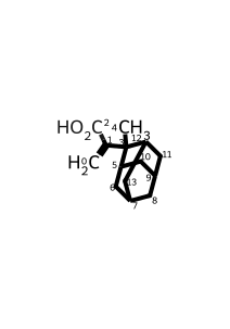 C=C(C(=O)O)C1(C)C2CC3CC(C2)CC1C3